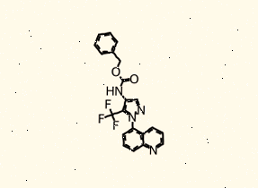 O=C(Nc1cnn(-c2cccc3ncccc23)c1C(F)(F)F)OCc1ccccc1